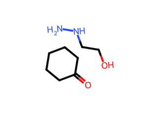 NNCCO.O=C1CCCCC1